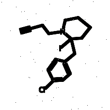 C#CCCN1CCCCC1(I)Cc1ccc(Cl)cc1